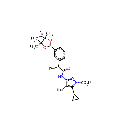 CC(C)C(C(=O)Nc1nn(C(=O)O)c(C2CC2)c1C(C)(C)C)c1cccc(B2OC(C)(C)C(C)(C)O2)c1